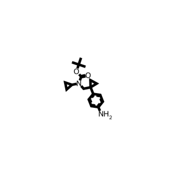 CC(C)(C)OC(=O)N(CC1(c2ccc(N)cc2)CC1)C1CC1